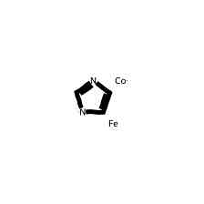 C1=CN=C[N]1.[Co].[Fe]